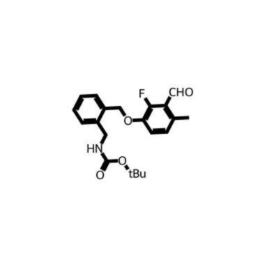 Cc1ccc(OCc2ccccc2CNC(=O)OC(C)(C)C)c(F)c1C=O